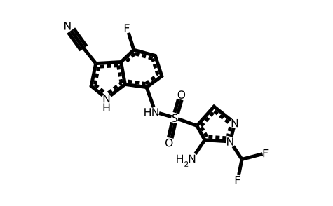 N#Cc1c[nH]c2c(NS(=O)(=O)c3cnn(C(F)F)c3N)ccc(F)c12